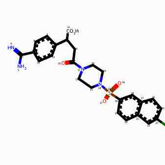 N=C(N)c1ccc(C(CC(=O)N2CCN(S(=O)(=O)c3ccc4cc(Cl)ccc4c3)CC2)C(=O)O)cc1